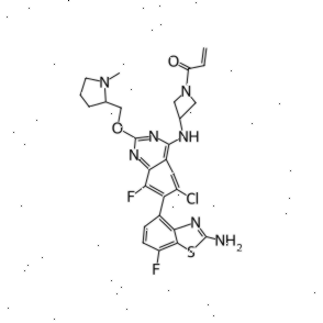 C=CC(=O)N1CC(Nc2nc(OCC3CCCN3C)nc3c(F)c(-c4ccc(F)c5sc(N)nc45)c(Cl)cc23)C1